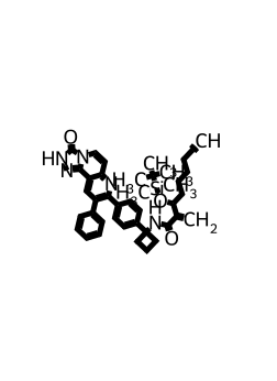 C#CCCCCC(O[Si](C)(C)C(C)(C)C)C(=C)C(=O)NC1(c2ccc(-c3nc4ccn5c(=O)[nH]nc5c4cc3-c3ccccc3)cc2)CCC1